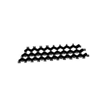 C=CCCCCCCCCCCCCCCCC.C=CCCCCCCCCCCCCCCCCCC.C=CCCCCCCCCCCCCCCCCCCCC